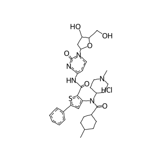 CC1CCC(C(=O)N(c2cc(-c3ccccc3)sc2C(=O)Nc2ccn(C3CC(O)C(CO)O3)c(=O)n2)C2CCN(C)CC2)CC1.Cl